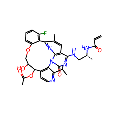 C=CC(=O)N[C@H](C)CNc1nc(=O)n2c3nc(c(C)cc13)-c1c(F)cccc1OCC(O)C(OC(C)=O)c1ccnc(C(C)C)c1-2